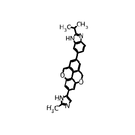 Cc1ncc(-c2cc3c4c(c2)OCc2cc(-c5ccc6nc(C(C)C)[nH]c6c5)cc(c2-4)CO3)[nH]1